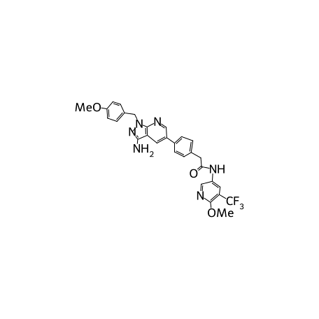 COc1ccc(Cn2nc(N)c3cc(-c4ccc(CC(=O)Nc5cnc(OC)c(C(F)(F)F)c5)cc4)cnc32)cc1